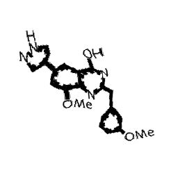 COc1cccc(Cc2nc(O)c3cc(-c4cn[nH]c4)cc(OC)c3n2)c1